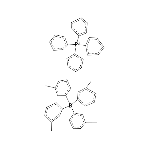 Cc1cccc([B-](c2cccc(C)c2)(c2cccc(C)c2)c2cccc(C)c2)c1.c1ccc([P+](c2ccccc2)(c2ccccc2)c2ccccc2)cc1